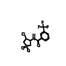 O=C(NC1CS(=O)(=O)CC1Cl)c1cccc(C(F)(F)F)c1